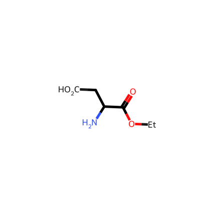 CCOC(=O)C(N)CC(=O)O